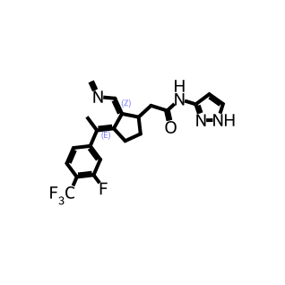 C=N/C=C1\C(=C(/C)c2ccc(C(F)(F)F)c(F)c2)CCC1CC(=O)Nc1cc[nH]n1